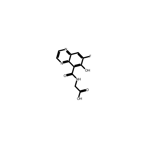 O=C(O)CNC(=O)c1c(O)c(F)cc2nccnc12